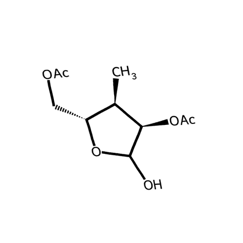 CC(=O)OC[C@H]1OC(O)[C@H](OC(C)=O)[C@@H]1C